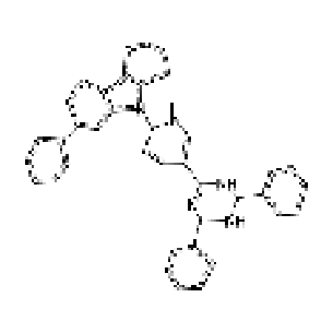 C1=CC(n2c3ccccc3c3ccc(-c4ccccc4)cc32)NC=C1C1=NC(c2ccccc2)NC(c2ccccc2)N1